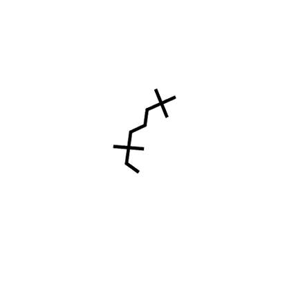 CCC(C)(C)CCCC(C)(C)C